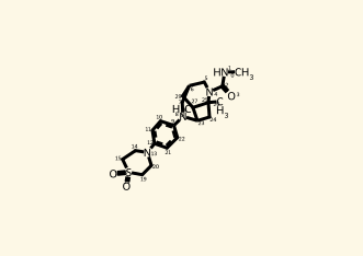 CNC(=O)N1CC2CN(c3ccc(N4CCS(=O)(=O)CC4)cc3)C3CC1(C)C3(C)C2